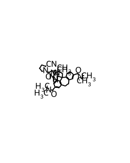 C[C@H](CC1(c2nnnn2C)c2ccc(C(=O)N(C)C)cc2CCc2cc(C(=O)N(C)C)ccc21)NCC(=O)N1CCC[C@H]1C#N